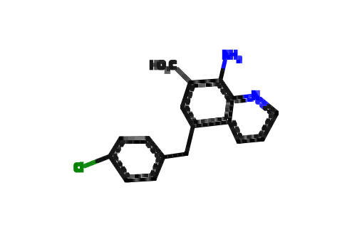 Nc1c(C(=O)O)cc(Cc2ccc(Cl)cc2)c2cccnc12